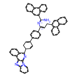 N/C(=N\C(=C/Cc1cc2ccccc2c2ccccc12)c1ccc(C2=CCC(c3nc4c(nc5ccccn54)c4ccccc34)C=C2)cc1)c1cc2ccccc2c2ccccc12